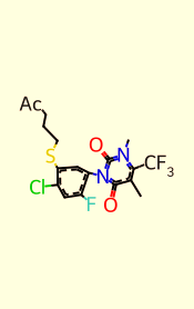 CC(=O)CCCSc1cc(-n2c(=O)c(C)c(C(F)(F)F)n(C)c2=O)c(F)cc1Cl